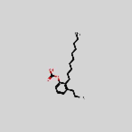 CCCCCCCCCCc1c(CCC)cccc1OC(=O)O